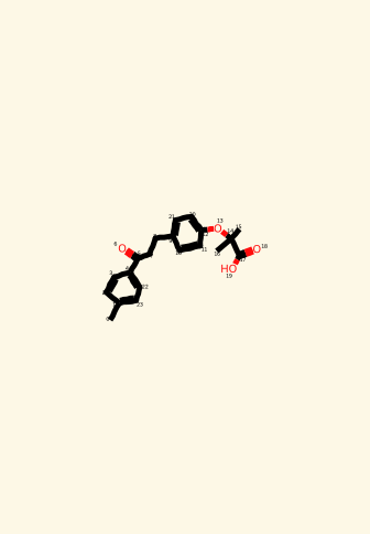 Cc1ccc(C(=O)CCc2ccc(OC(C)(C)C(=O)O)cc2)cc1